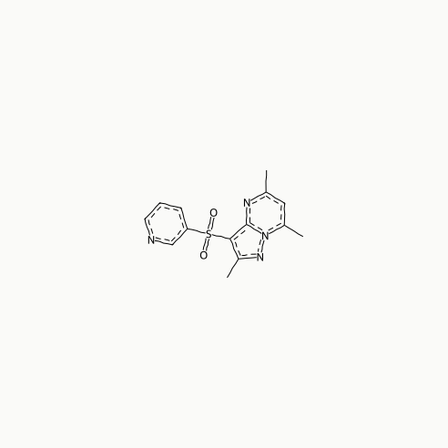 Cc1cc(C)n2nc(C)c(S(=O)(=O)c3cccnc3)c2n1